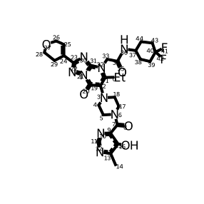 CCc1c(N2CCN(C(=O)c3ncnc(C)c3O)CC2)c(=O)n2nc(C3=CCOCC3)nc2n1CC(=O)NC1CCC(F)(F)CC1